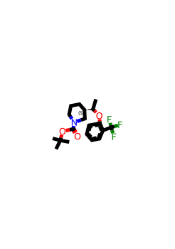 CC(Oc1ccccc1C(F)(F)F)[C@H]1CCCN(C(=O)OC(C)(C)C)C1